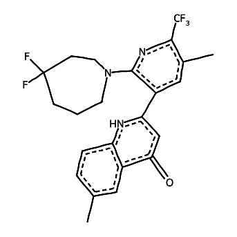 Cc1ccc2[nH]c(-c3cc(C)c(C(F)(F)F)nc3N3CCCC(F)(F)CC3)cc(=O)c2c1